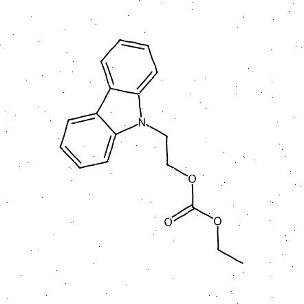 CCOC(=O)OCCn1c2ccccc2c2ccccc21